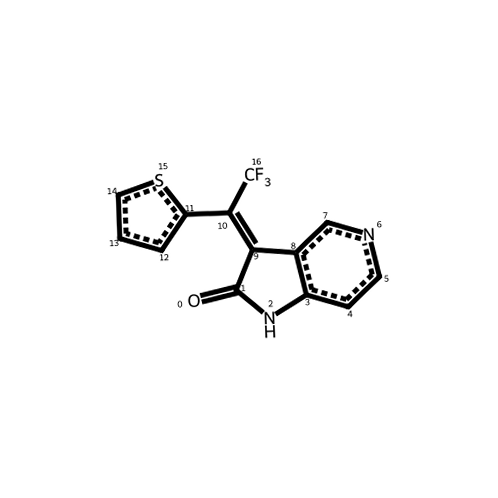 O=C1Nc2ccncc2C1=C(c1cccs1)C(F)(F)F